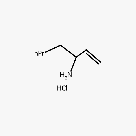 C=CC(N)CCCC.Cl